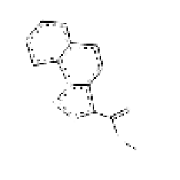 COC(=O)c1nnn2c1ccc1ccccc12